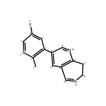 Cc1ncc(F)cc1-c1cnc2c(c1)C=NCC2